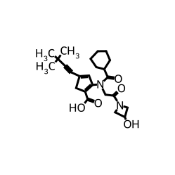 CC(C)(C)C#CC1=CC(N(CC(=O)N2CC(O)C2)C(=O)C2CCCCC2)=C(C(=O)O)C1